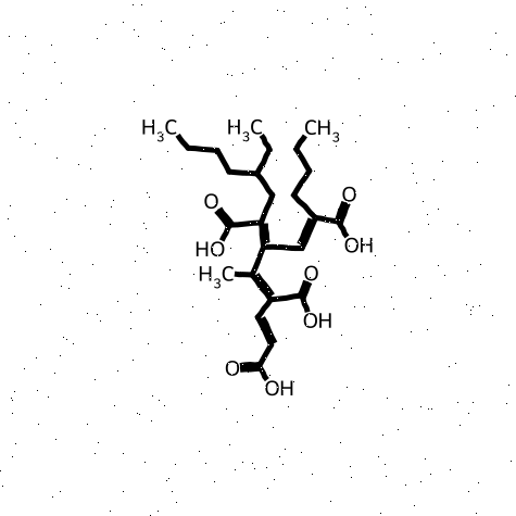 CCCCC(=CC(C(C)=C(C=CC(=O)O)C(=O)O)=C(CC(CC)CCCC)C(=O)O)C(=O)O